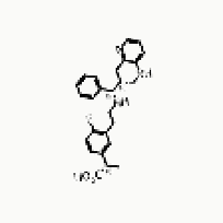 C[C@H](C(=O)O)c1ccc(F)c(CCN[C@H](c2ccccc2)[C@H]2CNc3cccnc3C2)c1